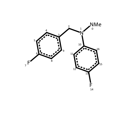 CNN(Cc1ccc(F)cc1)c1ccc(F)cc1